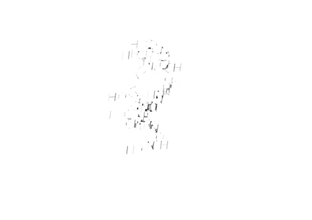 CCn1c(-c2cccnc2[C@H](C)OC)c2c3cc(ccc31)-c1cc(O)cc(c1)C[C@H](NC(=O)C(C(C)C)N(C)C(=O)[C@H]1CCN(C(=O)CN(C)C)C1)C(=O)N1CCC[C@H](N1)C(=O)OCC(C)(C)C2